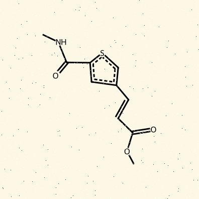 CNC(=O)c1cc(C=CC(=O)OC)cs1